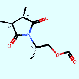 C[C@@H]1C(=O)N([C@@H](C)COC=O)C(=O)[C@@H]1C